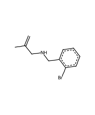 C=C(C)CNCc1ccccc1Br